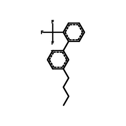 CCCCc1cc[c]c(-c2ccccc2C(F)(F)F)c1